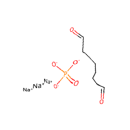 O=CCCCC=O.O=P([O-])([O-])[O-].[Na+].[Na+].[Na+]